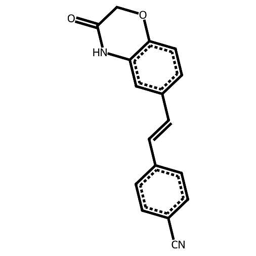 N#Cc1ccc(C=Cc2ccc3c(c2)NC(=O)CO3)cc1